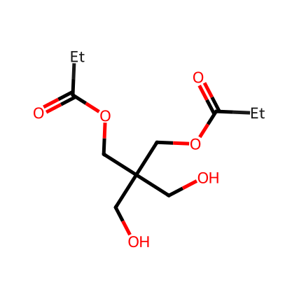 CCC(=O)OCC(CO)(CO)COC(=O)CC